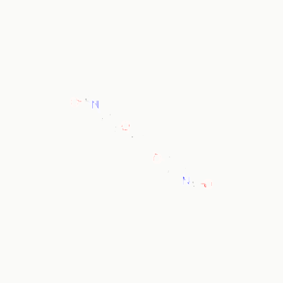 O=C=NCCCOCCCCOCCCN=C=O